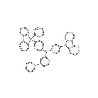 c1ccc(-c2cccc(N(c3ccc(-n4c5ccccc5c5ccccc54)cc3)c3ccc(C4(c5ccccc5)c5ccccc5-c5ccccc54)cc3)c2)cc1